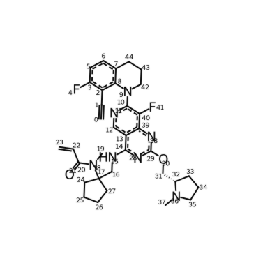 C#Cc1c(F)ccc2c1N(c1ncc3c(NCC4(N(C)C(=O)C=C)CCCC4)nc(OC[C@@H]4CCCN4C)nc3c1F)CCC2